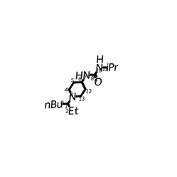 CCCCC(CC)N1CCC(NC(=O)NC(C)C)CC1